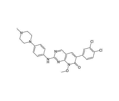 COn1c(=O)c(-c2ccc(Cl)c(Cl)c2)cc2cnc(Nc3ccc(N4CCN(C)CC4)cc3)nc21